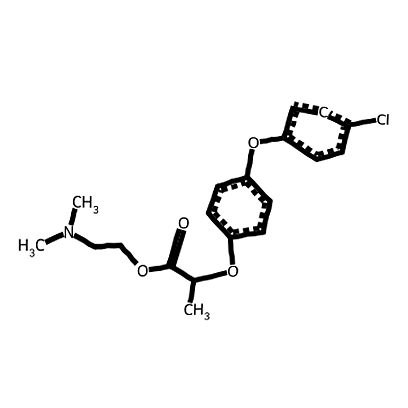 CC(Oc1ccc(Oc2ccc(Cl)cc2)cc1)C(=O)OCCN(C)C